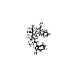 CC[C@H](C)[C@H](NC(=O)[C@@H](NC(=O)[C@@H]1CCCN1C(=O)[C@@H](N)Cc1c[nH]c2ccccc12)C(C)C)C(=O)N[C@@H](CC(C)C)C(=O)O